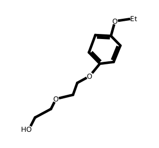 CCOc1ccc(OCCOCCO)cc1